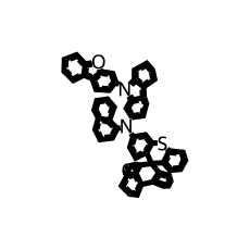 c1ccc2c(c1)Sc1cc(N(c3ccc4c5ccccc5n(-c5ccc6c(c5)oc5ccccc56)c4c3)c3cccc4ccccc34)ccc1C21c2ccccc2-c2cccc3cccc1c23